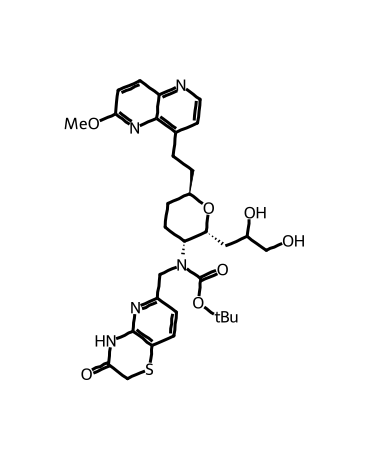 COc1ccc2nccc(CC[C@@H]3CC[C@@H](N(Cc4ccc5c(n4)NC(=O)CS5)C(=O)OC(C)(C)C)[C@@H](CC(O)CO)O3)c2n1